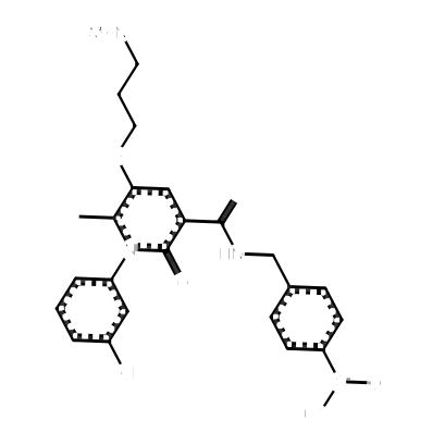 CNCCCOc1cc(C(=O)NCc2ccc([S+]([O-])C(C)C)cc2)c(=O)n(-c2cccc(C(F)(F)F)c2)c1C